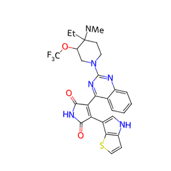 CCC1(NC)CCN(c2nc(C3=C(c4c[nH]c5ccsc45)C(=O)NC3=O)c3ccccc3n2)CC1OC(F)(F)F